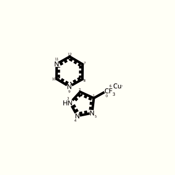 FC(F)(F)c1c[nH]nn1.[Cu].c1cncnc1